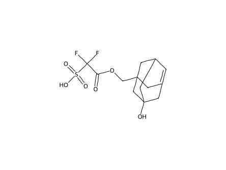 O=C(OCC12CC3=CC(CC(O)(C3)C1)C2)C(F)(F)S(=O)(=O)O